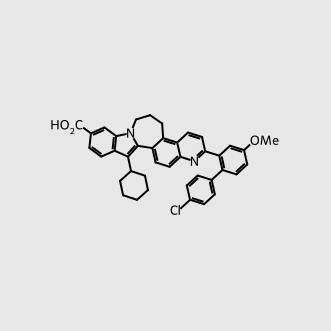 COc1ccc(-c2ccc(Cl)cc2)c(-c2ccc3c4c(ccc3n2)-c2c(C3CCCCC3)c3ccc(C(=O)O)cc3n2CCC4)c1